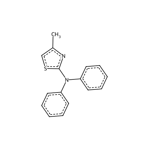 Cc1csc(N(c2ccccc2)c2ccccc2)n1